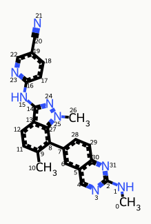 CNc1ncc2cc(-c3c(C)ccc4c(Nc5ccc(C#N)cn5)nn(C)c34)ccc2n1